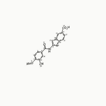 COc1ccc(C(=O)Nc2nc3ccc(C(=O)O)cc3s2)cc1C#N